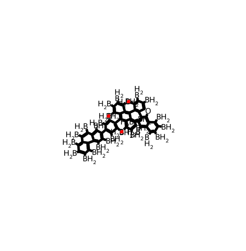 Bc1c(B)c(-c2c3c(B)c(B)c(B)c(B)c3c(-c3c(B)c(B)c(B)c4oc5c6c(B)c(B)c(B)c(B)c6c(B)c(B)c5c34)c3c(B)c(B)c(B)c(B)c23)c(B)c(B)c1-c1c(B)c(B)c2c(c1B)c(B)c(B)c1c(B)c(B)c(B)c(B)c12